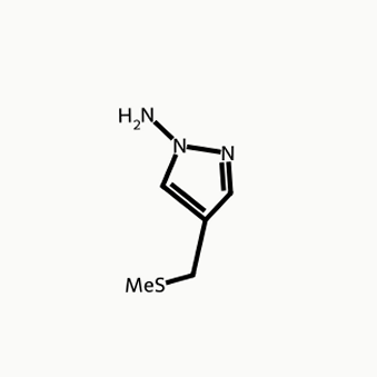 CSCc1cnn(N)c1